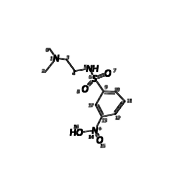 CN(C)CCNS(=O)(=O)c1cccc([N+](=O)O)c1